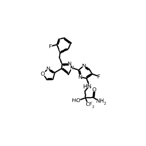 NC(=O)C(O)(CNc1nc(-n2cc(-c3ccon3)c(Cc3ccccc3F)n2)ncc1F)C(F)(F)F